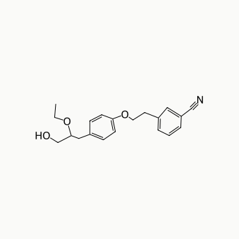 CCOC(CO)Cc1ccc(OCCc2cccc(C#N)c2)cc1